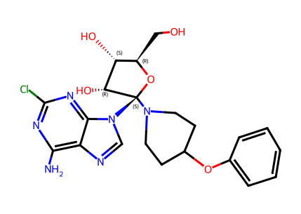 Nc1nc(Cl)nc2c1ncn2[C@]1(N2CCC(Oc3ccccc3)CC2)O[C@H](CO)[C@@H](O)[C@H]1O